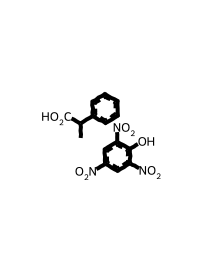 CC(C(=O)O)c1ccccc1.O=[N+]([O-])c1cc([N+](=O)[O-])c(O)c([N+](=O)[O-])c1